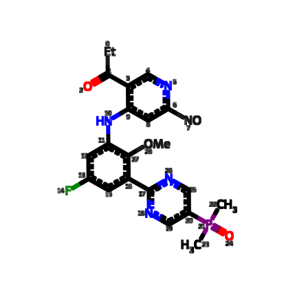 CCC(=O)c1cnc(N=O)cc1Nc1cc(F)cc(-c2ncc(P(C)(C)=O)cn2)c1OC